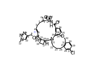 C[C@@H]1CC/C=C/[C@H](OCc2cn(C)nn2)[C@@H]2CC[C@H]2CN2CCCCc3cc(Cl)ccc3COc3ccc(cc32)C(=O)NS1(=O)=O